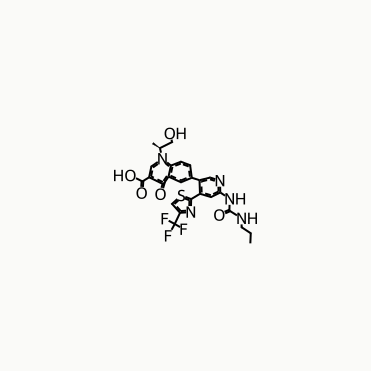 CCCNC(=O)Nc1cc(-c2nc(C(F)(F)F)cs2)c(-c2ccc3c(c2)c(=O)c(C(=O)O)cn3[C@@H](C)CO)cn1